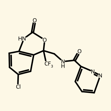 O=C1Nc2ccc(Cl)cc2C(CNC(=O)c2cccnn2)(C(F)(F)F)O1